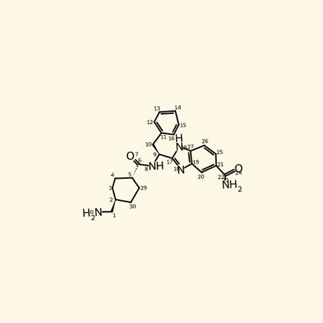 NC[C@H]1CC[C@H](C(=O)N[C@@H](Cc2ccccc2)c2nc3cc(C(N)=O)ccc3[nH]2)CC1